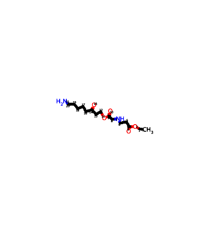 CCOC(=O)CCNCC(=O)OCCC(=O)CCCCCN